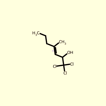 CCC/C(C)=C/C(O)C(Cl)(Cl)Cl